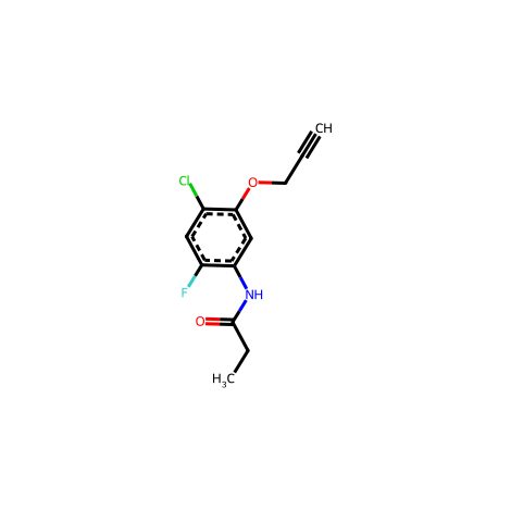 C#CCOc1cc(NC(=O)CC)c(F)cc1Cl